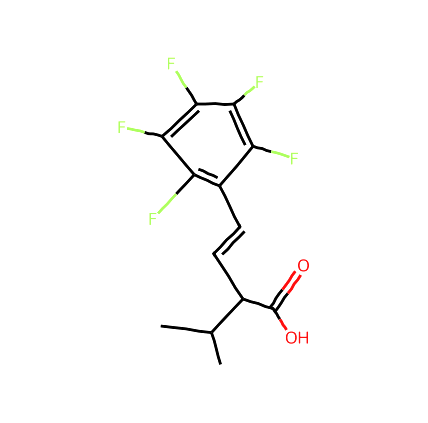 CC(C)C(/C=C/c1c(F)c(F)c(F)c(F)c1F)C(=O)O